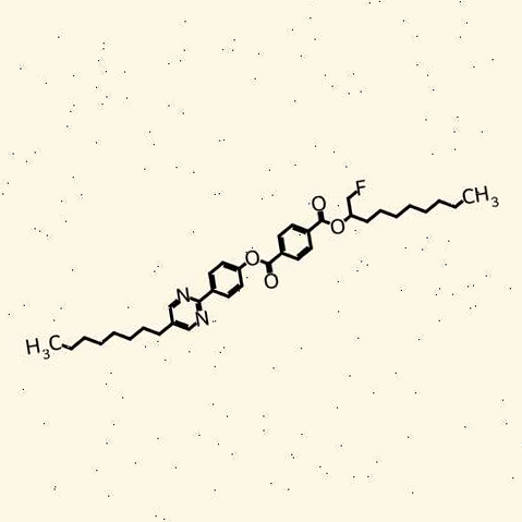 CCCCCCCCc1cnc(-c2ccc(OC(=O)c3ccc(C(=O)OC(CF)CCCCCCCC)cc3)cc2)nc1